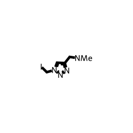 CNCc1cn(CI)nn1